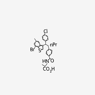 CCC[C@H](c1ccc(C(=O)NCC(C)C(=O)O)cc1)C(c1ccc(Cl)cc1)c1csc2c(Br)cc(C)cc12